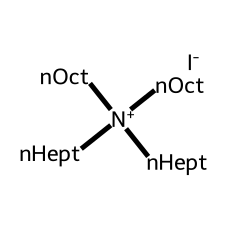 CCCCCCCC[N+](CCCCCCC)(CCCCCCC)CCCCCCCC.[I-]